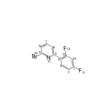 Fc1ccc(-c2cccc(Br)n2)c(F)c1